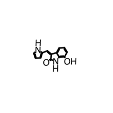 O=C1Nc2c(O)cccc2/C1=C/c1ccc[nH]1